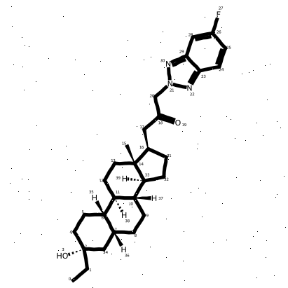 CC[C@@]1(O)CC[C@H]2[C@H](CC[C@@H]3[C@@H]2CC[C@]2(C)[C@@H](CC(=O)Cn4nc5ccc(F)cc5n4)CC[C@@H]32)C1